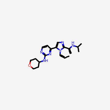 C=C(NC(C)C)c1ncc(-c2ccnc(NC3CCOCC3)n2)n1/C=C\C